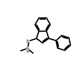 C[SiH](C)[Zr][CH]1C=C(c2ccccc2)c2ccccc21